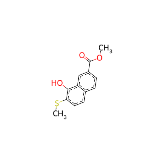 COC(=O)c1ccc2ccc(SC)c(O)c2c1